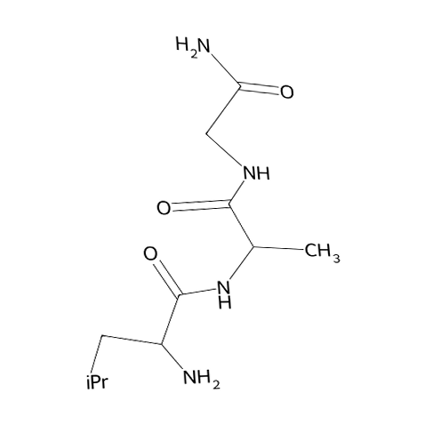 CC(C)CC(N)C(=O)NC(C)C(=O)NCC(N)=O